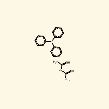 N=C(N)NC(=N)N.c1ccc(P(c2ccccc2)c2ccccc2)cc1